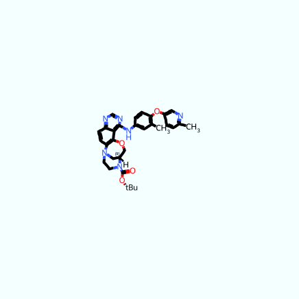 Cc1ccc(Oc2ccc(Nc3ncnc4ccc5c(c34)OC[C@H]3CN5CCN3C(=O)OC(C)(C)C)cc2C)cn1